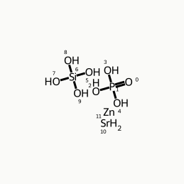 O=P(O)(O)O.O[Si](O)(O)O.[SrH2].[Zn]